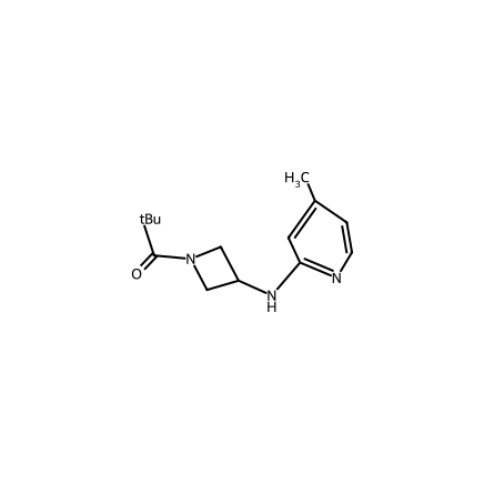 Cc1ccnc(NC2CN(C(=O)C(C)(C)C)C2)c1